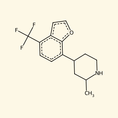 CC1CC(c2ccc(C(F)(F)F)c3ccoc23)CCN1